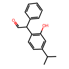 CC(C)c1ccc(C(C=O)c2ccccc2)c(O)c1